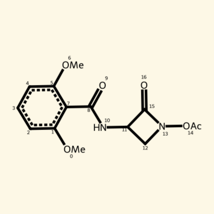 COc1cccc(OC)c1C(=O)NC1CN(OC(C)=O)C1=O